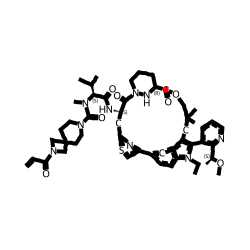 C=CC(=O)N1CC2(CCN(C(=O)N(C)[C@H](C(=O)N[C@H]3Cc4nc(cs4)-c4ccc5c(c4)c(c(-c4cccnc4[C@H](C)OC)n5CC)CC(C)(C)COC[C@@]4(C=O)CCCN(N4)C3=O)C(C)C)CC2)C1